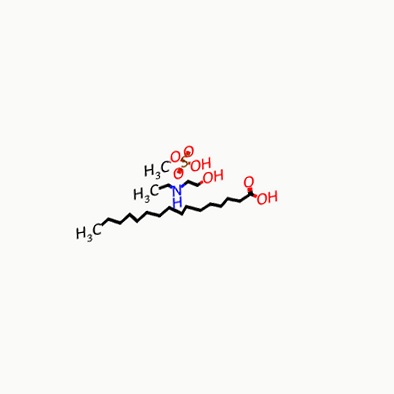 CCCCCCCCCCCCCCCC(=O)O.CCNCCO.COS(=O)(=O)O